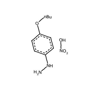 CCCCOc1ccc(NN)cc1.O=[N+]([O-])O